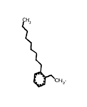 [CH2]Cc1ccccc1CCCCCCCCC